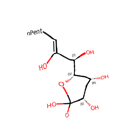 CCCCCC=C(O)[C@@H](O)[C@H]1OC([O])(O)[C@@H](O)[C@H]1O